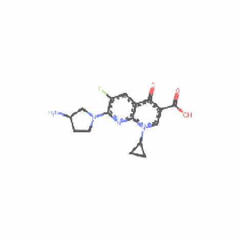 NC1CCN(c2nc3c(cc2F)c(=O)c(C(=O)O)cn3C2CC2)C1